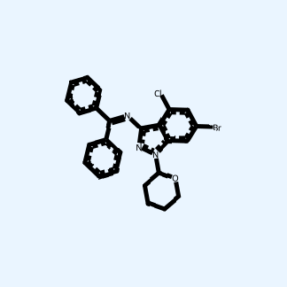 Clc1cc(Br)cc2c1c(N=C(c1ccccc1)c1ccccc1)nn2C1CCCCO1